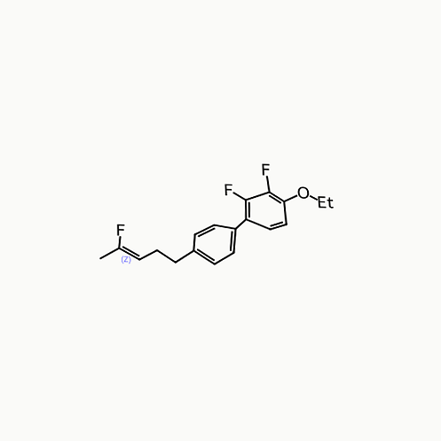 CCOc1ccc(-c2ccc(CC/C=C(/C)F)cc2)c(F)c1F